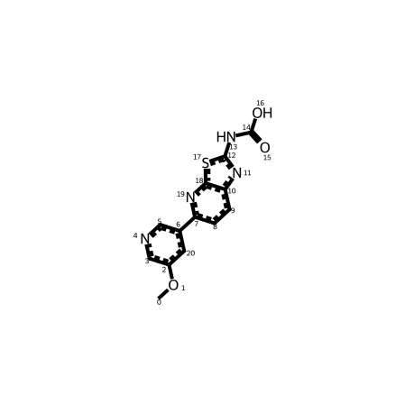 COc1cncc(-c2ccc3nc(NC(=O)O)sc3n2)c1